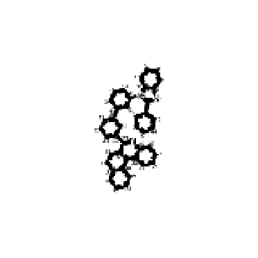 c1ccc(-c2nc3ccccc3n2-c2cccc(-c3cccc(-c4nc5ccccc5c5c4ccc4ccccc45)c3)c2)cc1